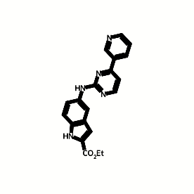 CCOC(=O)c1cc2cc(Nc3nccc(-c4cccnc4)n3)ccc2[nH]1